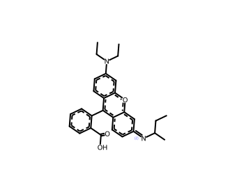 CCC(C)/N=c1/ccc2c(-c3ccccc3C(=O)O)c3ccc(N(CC)CC)cc3oc-2c1